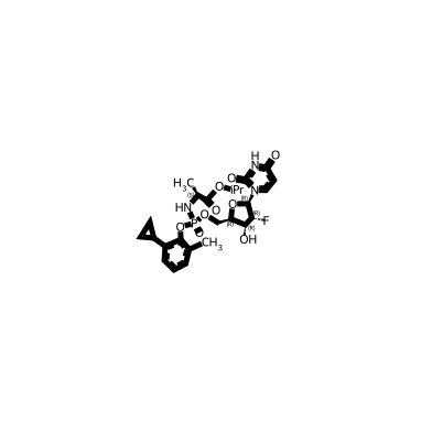 Cc1cccc(C2CC2)c1OP(=O)(N[C@@H](C)C(=O)OC(C)C)OC[C@H]1O[C@@H](n2ccc(=O)[nH]c2=O)[C@H](F)[C@@H]1O